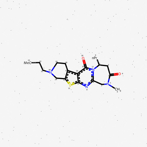 CCCC1CC(=O)N(C)Cc2nc3sc4c(c3c(=O)n21)CCN(CCOC)C4